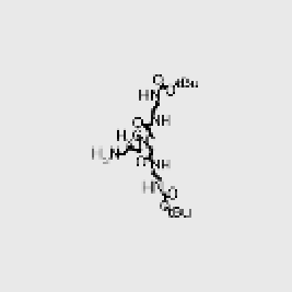 CC(C)(C)OC(=O)NCCNC(=O)C[N+](C)(CCCN)CC(=O)NCCNC(=O)OC(C)(C)C